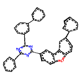 c1ccc(-c2cccc(-c3nc(-c4ccccc4)nc(-c4ccc5oc6ccc(-c7ccccc7)cc6c5c4)n3)c2)cc1